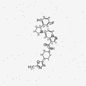 Cc1nnc(C2CCC(NC(=O)c3cnn4ccc(N5CCCC5c5cc(F)ccc5F)cc34)CC2)o1